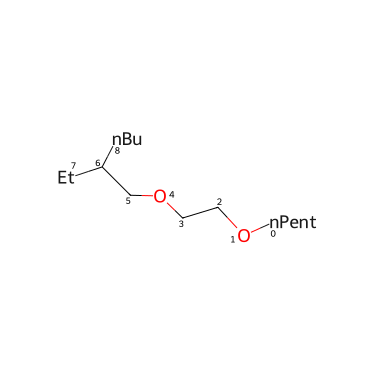 CCCCCOCCOCC(CC)CCCC